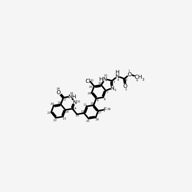 COC(=O)Nc1nc2cc(-c3cc(Cc4n[nH]c(=O)c5ccccc45)ccc3F)cc(Cl)c2[nH]1